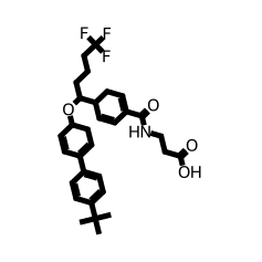 CC(C)(C)c1ccc(C2=CCC(OC(CCCC(F)(F)F)C3C=CC(C(=O)NCCC(=O)O)=CC3)C=C2)cc1